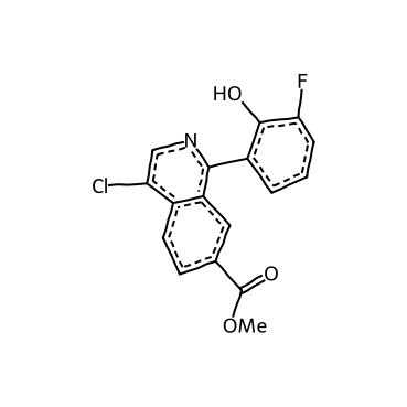 COC(=O)c1ccc2c(Cl)cnc(-c3cccc(F)c3O)c2c1